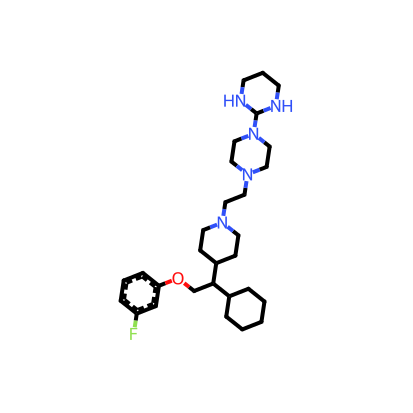 Fc1cccc(OCC(C2CCCCC2)C2CCN(CCN3CCN(C4NCCCN4)CC3)CC2)c1